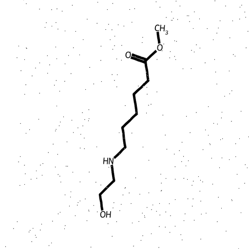 COC(=O)CCCCCNCCO